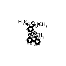 CCOC(=O)c1cc(S(=O)(=O)N2c3ccccc3-c3ccccc3C2C)ccc1OCC